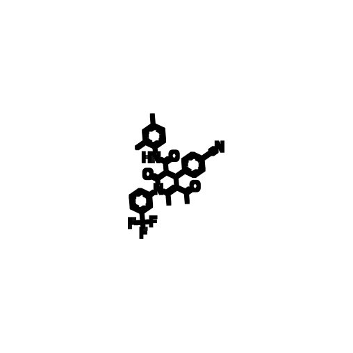 CC(=O)C1=C(C)N(c2cccc(C(F)(F)F)c2)C(=O)C(C(=O)Nc2ccc(C)cc2C)C1c1ccc(C#N)cc1